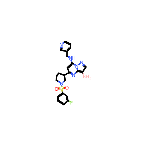 Bc1cnn2c(NCc3cccnc3)cc(C3CCCN(S(=O)(=O)c4cccc(F)c4)C3)nc12